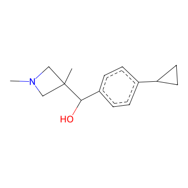 CN1CC(C)(C(O)c2ccc(C3CC3)cc2)C1